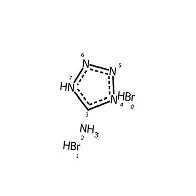 Br.Br.N.c1nnn[nH]1